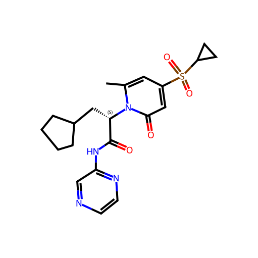 Cc1cc(S(=O)(=O)C2CC2)cc(=O)n1[C@@H](CC1CCCC1)C(=O)Nc1cnccn1